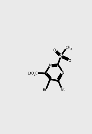 CCOC(=O)c1nc(S(C)(=O)=O)nc(CC)c1Br